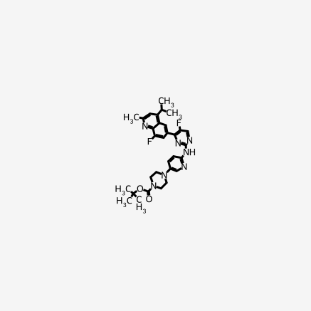 Cc1cc(C(C)C)c2cc(-c3nc(Nc4ccc(N5CCN(C(=O)OC(C)(C)C)CC5)cn4)ncc3F)cc(F)c2n1